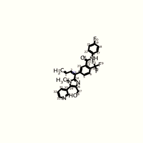 C=C/C=C(/c1ccc(C(F)(F)F)c(C(=O)Nc2ccc(F)cc2)c1)c1nc(CO)c(-c2cccnc2)n1C